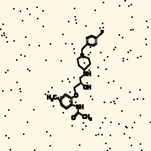 CC(=O)Nc1ccc(C)cc1OCC(O)CNC1CCN(Cc2ccc(F)cc2)CC1